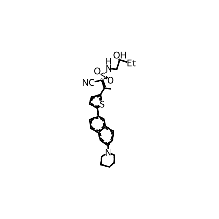 CCC(O)CNS(=O)(=O)/C(C#N)=C(\C)c1ccc(-c2ccc3cc(N4CCCCC4)ccc3c2)s1